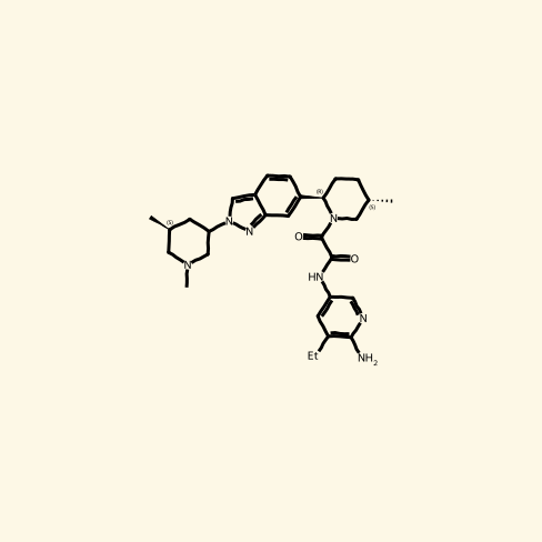 CCc1cc(NC(=O)C(=O)N2C[C@@H](C)CC[C@@H]2c2ccc3cn(C4C[C@H](C)CN(C)C4)nc3c2)cnc1N